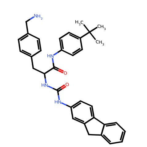 CC(C)(C)c1ccc(NC(=O)C(Cc2ccc(CN)cc2)NC(=O)Nc2ccc3c(c2)Cc2ccccc2-3)cc1